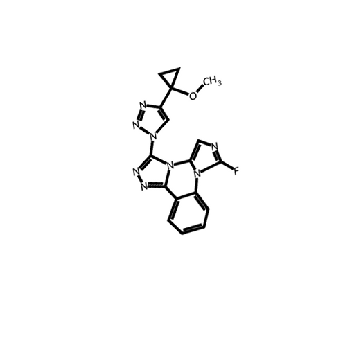 COC1(c2cn(-c3nnc4c5ccccc5n5c(F)ncc5n34)nn2)CC1